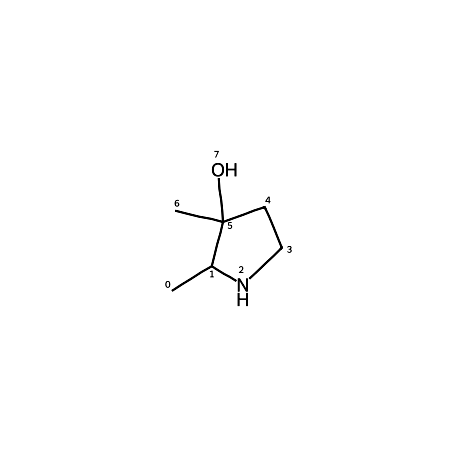 CC1NCCC1(C)O